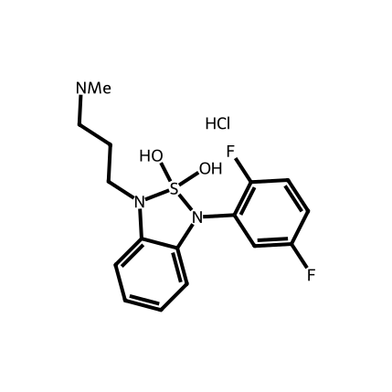 CNCCCN1c2ccccc2N(c2cc(F)ccc2F)S1(O)O.Cl